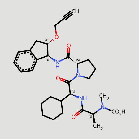 C#CCO[C@H]1Cc2ccccc2[C@@H]1NC(=O)[C@@H]1CCCN1C(=O)[C@@H](NC(=O)[C@H](C)N(C)C(=O)O)C1CCCCC1